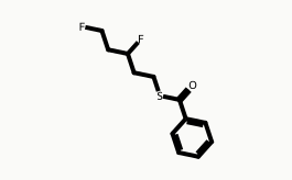 O=C(SCCC(F)CCF)c1ccccc1